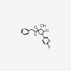 Cl.Fc1ccc(N2C[C@](Cl)(NCc3ccccc3)CC2Cl)cn1